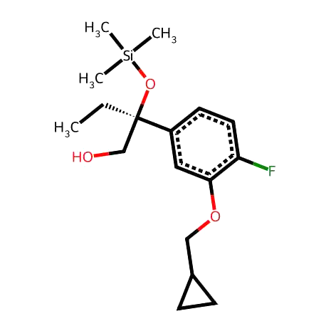 CC[C@](CO)(O[Si](C)(C)C)c1ccc(F)c(OCC2CC2)c1